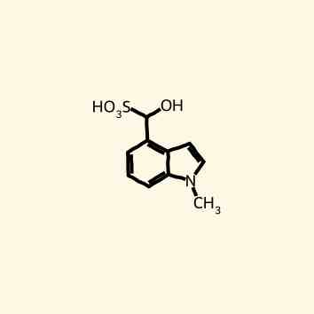 Cn1ccc2c(C(O)S(=O)(=O)O)cccc21